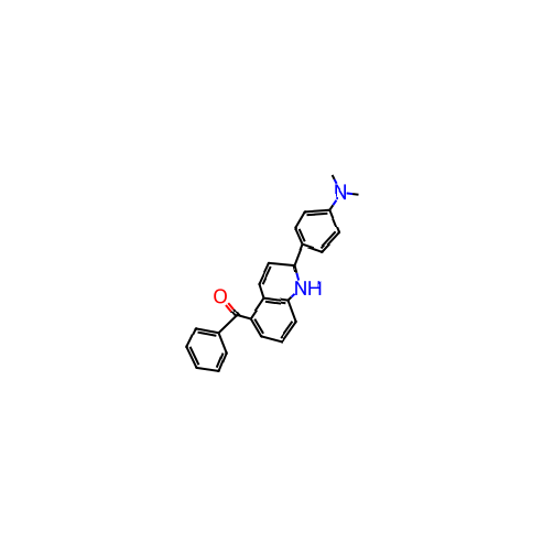 CN(C)c1ccc(C2C=Cc3c(cccc3C(=O)c3ccccc3)N2)cc1